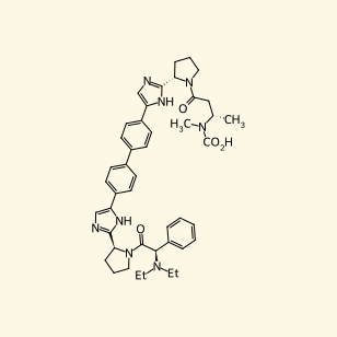 CCN(CC)[C@@H](C(=O)N1CCC[C@H]1c1ncc(-c2ccc(-c3ccc(-c4cnc([C@@H]5CCCN5C(=O)C[C@H](C)N(C)C(=O)O)[nH]4)cc3)cc2)[nH]1)c1ccccc1